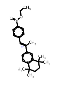 CCOS(=O)c1ccc(/C=C(\C)c2ccc3c(c2)C(C)(C)CCC3(C)C)cc1